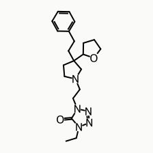 CCn1nnn(CCN2CCC(CCc3ccccc3)(C3CCCO3)C2)c1=O